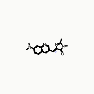 CC1=N/C(=C\c2cnc3cc(N(C)C)ccc3c2)C(=O)N1C